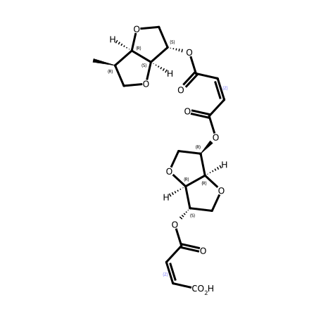 C[C@@H]1CO[C@H]2[C@@H]1OC[C@@H]2OC(=O)/C=C\C(=O)O[C@@H]1CO[C@H]2[C@@H]1OC[C@@H]2OC(=O)/C=C\C(=O)O